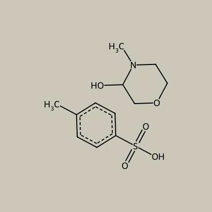 CN1CCOCC1O.Cc1ccc(S(=O)(=O)O)cc1